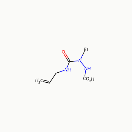 C=CCNC(=O)N(CC)NC(=O)O